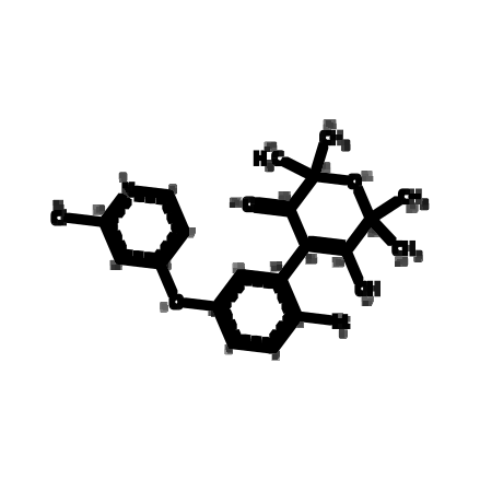 CCc1ccc(Oc2ccnc(Cl)c2)cc1C1=C(O)C(C)(C)OC(C)(C)C1=O